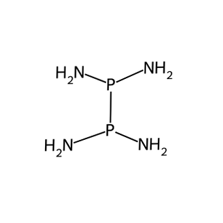 NP(N)P(N)N